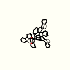 c1ccc(N(c2ccc3oc4ccccc4c3c2)c2cccc3c2C2(c4ccccc4-c4ccc(N(c5ccccc5)c5cccc6c5oc5ccccc56)cc42)c2oc4ccccc4c2-3)cc1